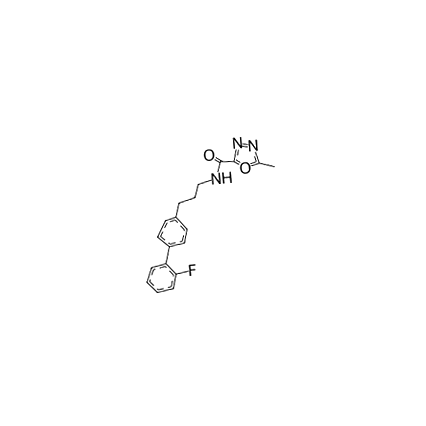 Cc1nnc(C(=O)NCCCc2ccc(-c3ccccc3F)cc2)o1